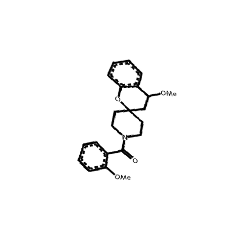 COc1ccccc1C(=O)N1CCC2(CC1)CC(OC)c1ccccc1O2